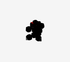 O=P1(c2ccccc2)c2ccccc2C2(c3ccccc3N(c3ccccc3)c3cc(-c4cc(-c5ccncc5)cc(-c5ccncc5)n4)ccc32)c2cc3c(cc21)oc1ccccc13